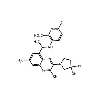 Cc1cc([C@@H](C)Nc2ccc(Cl)nc2C(=O)O)c2nc(N3CCC(O)(C(C)C)C3)c(C#N)nc2c1